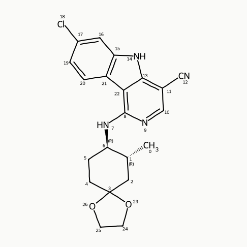 C[C@@H]1CC2(CC[C@H]1Nc1ncc(C#N)c3[nH]c4cc(Cl)ccc4c13)OCCO2